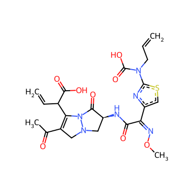 C=CCN(C(=O)O)c1nc(/C(=N/OC)C(=O)N[C@H]2CN3CC(C(C)=O)=C(C(C=C)C(=O)O)N3C2=O)cs1